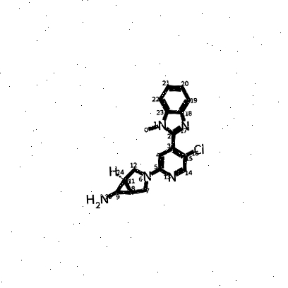 Cn1c(-c2cc(N3CC4C(N)[C@H]4C3)ncc2Cl)nc2ccccc21